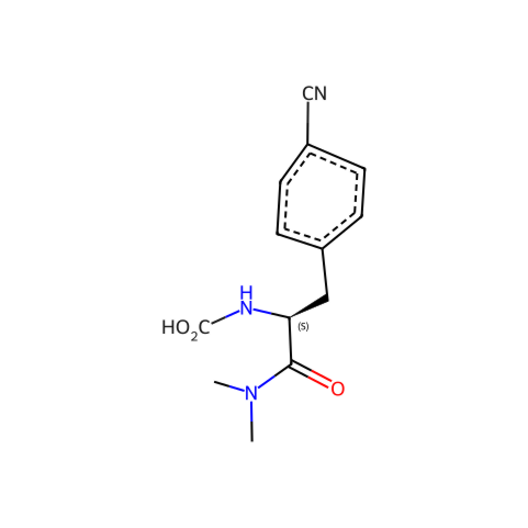 CN(C)C(=O)[C@H](Cc1ccc(C#N)cc1)NC(=O)O